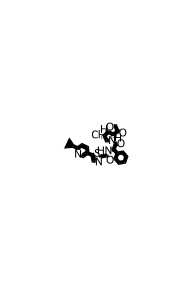 O=C(NC(C(=O)N1C[C@H](Cl)[C@H]2OCC(=O)[C@H]21)C1CCCCC1)c1ncc(-c2ccc(C3CC3)nc2)s1